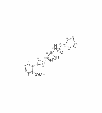 COc1ccccc1[C@H]1C[C@@H](c2cc(NC(=O)Cc3cccnc3)[nH]n2)C1